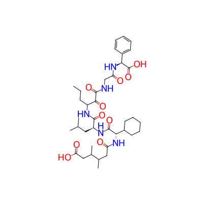 CCCC(NC(=O)[C@H](CC(C)C)NC(=O)[C@@H](NC(=O)CC(C)C(C)CC(=O)O)C1CCCCC1)C(=O)C(=O)NCC(=O)N[C@H](C(=O)O)c1ccccc1